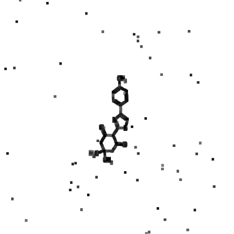 Cc1ccc(-c2csc(C3C(=O)CC(C)(C)CC3=O)n2)cc1